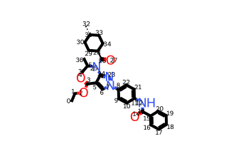 CCOC(=O)c1cn(-c2ccc(NC(=O)c3ccccc3)cc2)nc1N(C(=O)[C@H]1CC[C@H](C)CC1)C(C)C